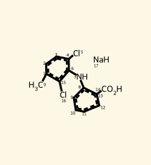 Cc1ccc(Cl)c(Nc2ccccc2C(=O)O)c1Cl.[NaH]